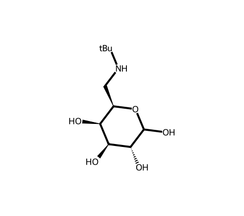 CC(C)(C)NC[C@H]1OC(O)[C@H](O)[C@@H](O)[C@H]1O